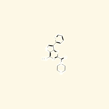 O=C(c1nc(O)c2scc(-c3ccccn3)c2n1)N1CCOCC1